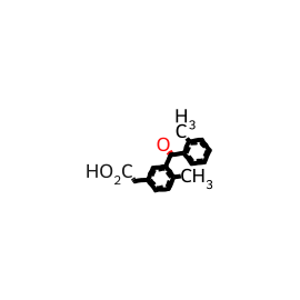 Cc1ccccc1C(=O)c1cc(CC(=O)O)ccc1C